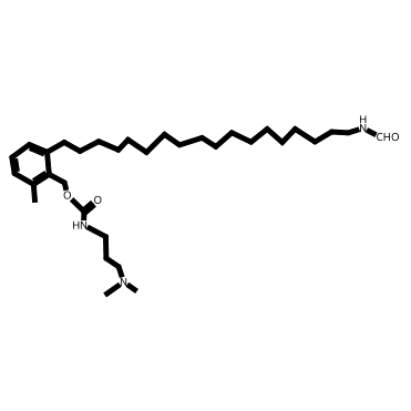 Cc1cccc(CCCCCCCCCCCCCCCCCCNC=O)c1COC(=O)NCCCN(C)C